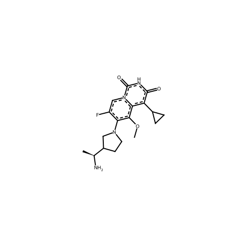 COc1c(N2CCC([C@H](C)N)C2)c(F)cn2c(=O)[nH]c(=O)c(C3CC3)c12